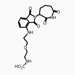 O=C(O)NCCOCCNc1cccc2c1C(=O)N(C1CCCC(=O)NC1=O)C2=O